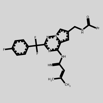 CC(C)=CC(=N)Nc1nc(C(F)(F)c2ccc(F)cc2)nn2cc(CNC(=O)C(C)C)cc12